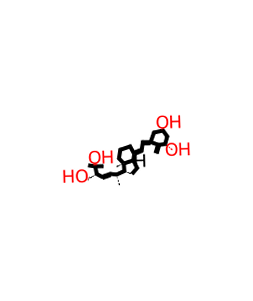 C=C1/C(=C\C=C2/CCC[C@]3(C)[C@@H]([C@H](C)/C=C/[C@H](CO)C(C)(C)O)CC[C@@H]23)C[C@@H](O)C[C@@H]1O